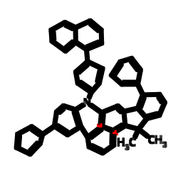 CC1(C)c2ccc(N(c3ccc(-c4cccc5ccccc45)cc3)c3ccc(-c4ccccc4)cc3-c3ccccc3)cc2-c2c(-c3ccccc3)cccc21